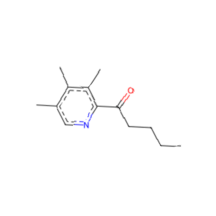 CCCCC(=O)c1ncc(C)c(C)c1C